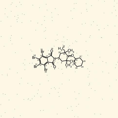 CC1(C)CC(N2C(=O)c3c(Br)c(Br)c(Br)c(Br)c3C2=O)CC(C)(C)N1OC1CCCCC1